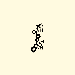 CN(C)CC(C)(C)CNC(=O)c1ccc2[nH]c(-c3cc4ccccc4[nH]c3=O)cc2c1